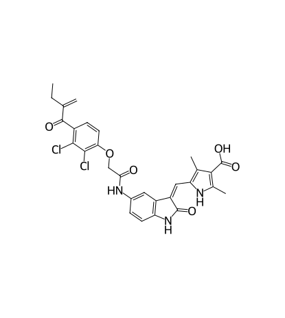 C=C(CC)C(=O)c1ccc(OCC(=O)Nc2ccc3c(c2)/C(=C/c2[nH]c(C)c(C(=O)O)c2C)C(=O)N3)c(Cl)c1Cl